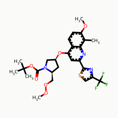 COOC[C@@H]1C[C@H](Oc2cc(-c3nc(C(F)(F)F)cs3)nc3c(C)c(OC)ccc23)CN1C(=O)OC(C)(C)C